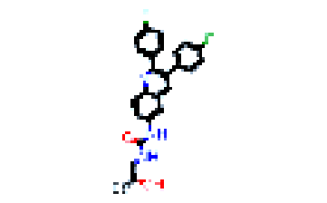 CCC(O)CNC(=O)Nc1ccc2nc(-c3ccc(F)cc3)c(-c3ccc(F)cc3)cc2c1